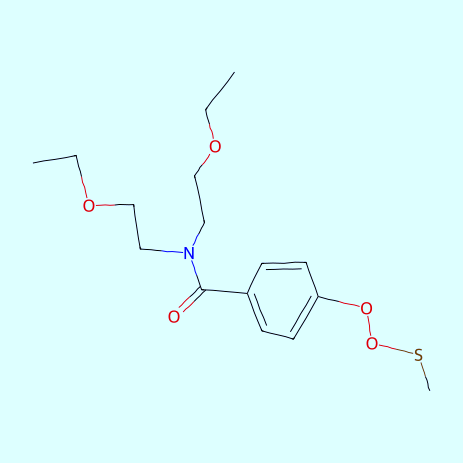 CCOCCN(CCOCC)C(=O)c1ccc(OOSC)cc1